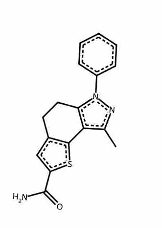 Cc1nn(-c2ccccc2)c2c1-c1sc(C(N)=O)cc1CC2